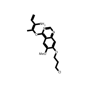 C=CC(N)=C(C)Oc1ncnc2cc(OCCCCl)c(OC)cc12